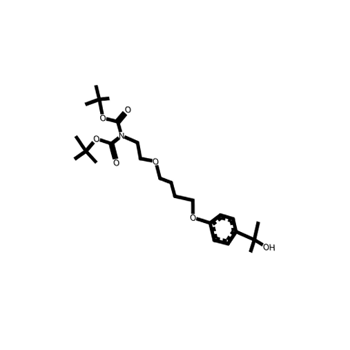 CC(C)(C)OC(=O)N(CCOCCCCOc1ccc(C(C)(C)O)cc1)C(=O)OC(C)(C)C